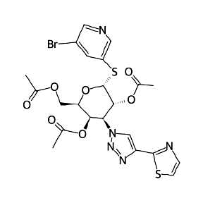 CC(=O)OC[C@H]1O[C@H](Sc2cncc(Br)c2)[C@H](OC(C)=O)[C@@H](n2cc(-c3nccs3)nn2)[C@H]1OC(C)=O